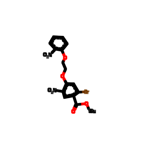 CC(C)(C)OC(=O)c1cc([N+](=O)[O-])c(OCCOc2ccccc2[N+](=O)[O-])cc1Br